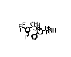 CC(OC[C@@]1(c2ccccc2)CCC(c2nn[nH]n2)CN1)c1cc(CF)cc(C(F)(F)F)c1